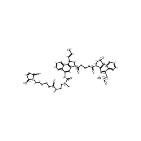 CN(CCN(C)C(=O)Oc1cc2c(c3ccccc13)C(/C=C/Cl)CN2C(=O)CCCC(=O)N1C[C@@H](Cl)c2c1cc(O[PH](=O)O)c1ccccc21)C(=O)CCCCCN1C(=O)C=CC1=O